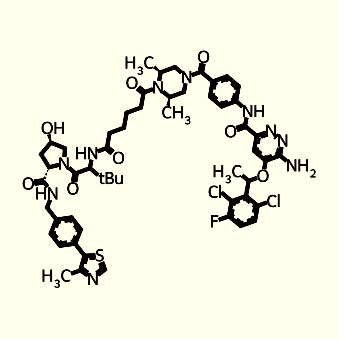 Cc1ncsc1-c1ccc(CNC(=O)[C@@H]2C[C@@H](O)CN2C(=O)C(NC(=O)CCCCC(=O)N2[C@H](C)CN(C(=O)c3ccc(NC(=O)c4cc(OC(C)c5c(Cl)ccc(F)c5Cl)c(N)nn4)cc3)C[C@@H]2C)C(C)(C)C)cc1